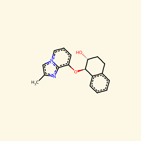 Cc1cn2cccc(O[C@@H]3c4ccccc4CC[C@H]3O)c2n1